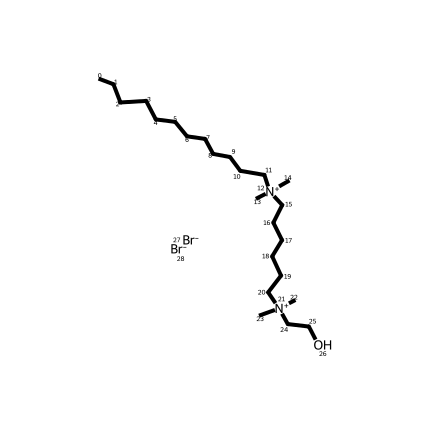 CCCCCCCCCCCC[N+](C)(C)CCCCCC[N+](C)(C)CCO.[Br-].[Br-]